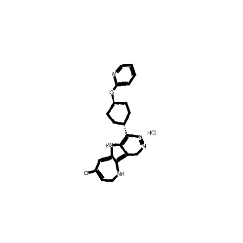 Cl.ClC1=CCNc2c3c([nH]c2=C1)=C([C@H]1CC[C@H](Oc2ccccn2)CC1)N=NC3